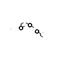 C#C[C@@H](CC(=O)O)c1ccc(OCc2ccc(CN3CCc4cc(OC)ccc4C3)cc2)cc1